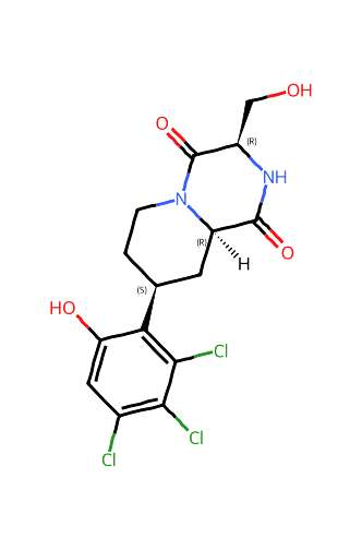 O=C1N[C@H](CO)C(=O)N2CC[C@H](c3c(O)cc(Cl)c(Cl)c3Cl)C[C@H]12